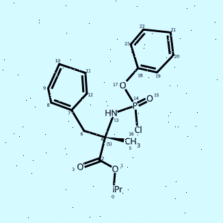 CC(C)OC(=O)[C@](C)(Cc1ccccc1)NP(=O)(Cl)Oc1ccccc1